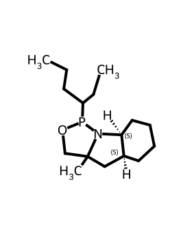 CCCC(CC)P1OCC2(C)C[C@@H]3CCCC[C@@H]3N12